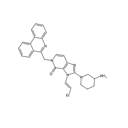 CCC=Cn1c(N2CCCC(N)C2)nc2ccn(Cc3nc4ccccc4c4ccccc34)c(=O)c21